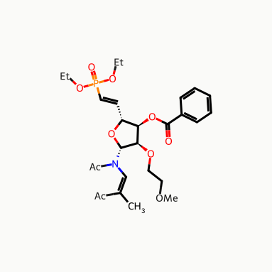 CCOP(=O)(/C=C/[C@H]1O[C@@H](N(/C=C(/C)C(C)=O)C(C)=O)[C@H](OCCOC)[C@@H]1OC(=O)c1ccccc1)OCC